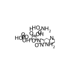 NC(=O)O.Nc1nc(=O)n([C@@H]2O[C@H](COP(=O)(O)O)[C@@H](O)[C@H]2O)cc1Cc1ccccn1